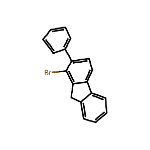 Brc1c(-c2ccccc2)ccc2c1Cc1ccccc1-2